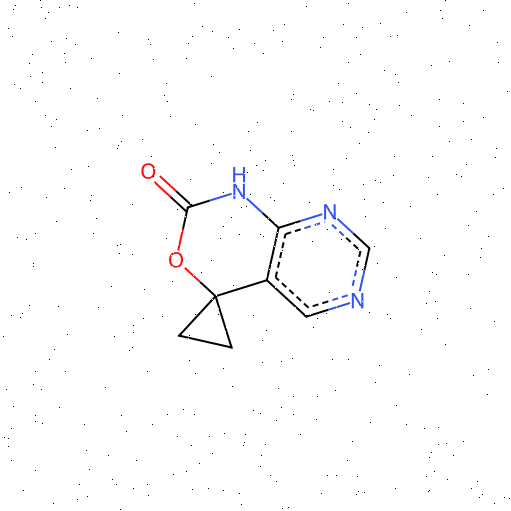 O=C1Nc2ncncc2C2(CC2)O1